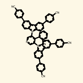 N#Cc1ccc(-c2ccc3c(c2)c2cc(-c4ccc(C#N)cc4)ccc2n3-c2cncc(-n3c4ccc(-c5ccc(C#N)cc5)cc4c4cc(-c5ccc(C#N)cc5)ccc43)c2-c2ccccc2C#N)cc1